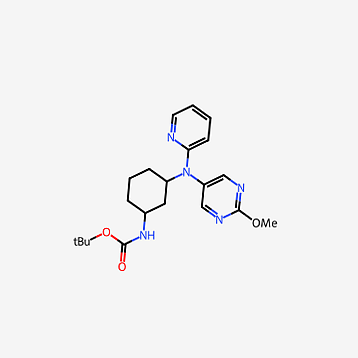 COc1ncc(N(c2ccccn2)C2CCCC(NC(=O)OC(C)(C)C)C2)cn1